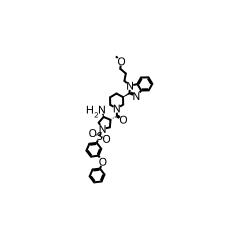 COCCCn1c([C@@H]2CCCN(C(=O)[C@@H]3CN(S(=O)(=O)c4cccc(Oc5ccccc5)c4)C[C@H]3N)C2)nc2ccccc21